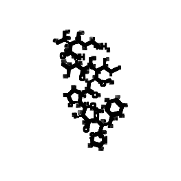 CC[C@H](C)[C@@H]([C@@H](CC(=O)N1CCC[C@H]1[C@H](OC)[C@@H](C)C(=O)N[C@@H](Cc1ccccc1)c1nccs1)OC)N(C)C(=O)[C@@H](NC(=O)[C@H](C(C)C)N(C)CCN)C(C)C